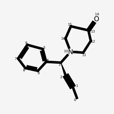 CC#C[C@@H](c1ccccc1)N1CCC(=O)CC1